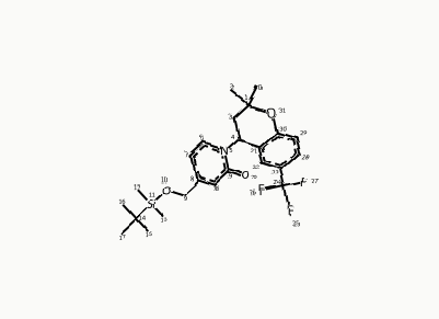 CC1(C)CC(n2ccc(CO[Si](C)(C)C(C)(C)C)cc2=O)c2cc(C(F)(F)F)ccc2O1